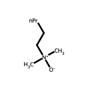 CCCCC[N+](C)(C)[O-]